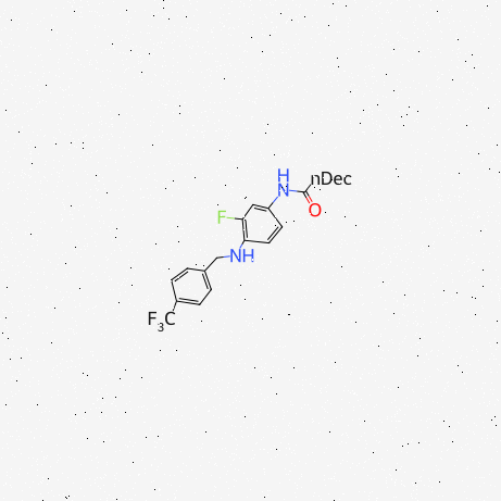 CCCCCCCCCCC(=O)Nc1ccc(NCc2ccc(C(F)(F)F)cc2)c(F)c1